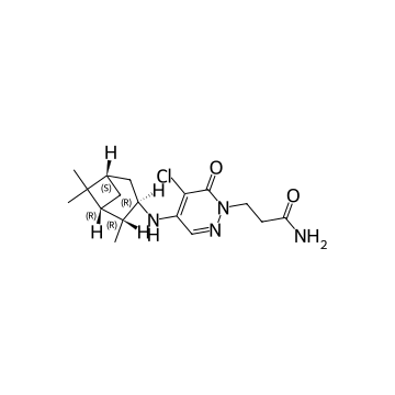 C[C@@H]1[C@H]2C[C@@H](C[C@H]1Nc1cnn(CCC(N)=O)c(=O)c1Cl)C2(C)C